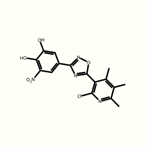 Cc1nc(Cl)c(-c2nc(-c3cc(O)c(O)c([N+](=O)[O-])c3)no2)c(C)c1C